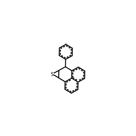 [c]1ccc(C2c3cccc4cccc(c34)C3SC32)cc1